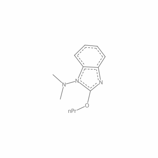 CCCOc1nc2ccccc2n1N(C)C